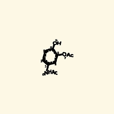 CC(=O)Nc1ccc(O)c(OC(C)=O)c1